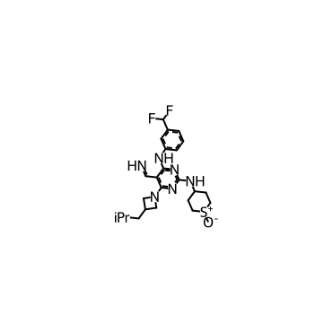 CC(C)CC1CN(c2nc(NC3CC[S+]([O-])CC3)nc(Nc3cccc(C(F)F)c3)c2C=N)C1